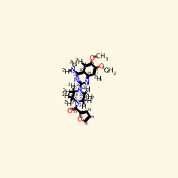 [2H]c1c(OC)c(OC)c([2H])c2c(N([2H])[2H])nc(N3C([2H])([2H])C([2H])([2H])N(C(=O)c4ccco4)C([2H])([2H])C3([2H])[2H])nc12